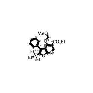 CCOC(=O)c1cnc2oc([Si](CC)(CC)CC)c(-c3ccccc3)c2c1OCOC